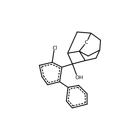 OC1(c2c(Cl)cccc2-c2ccccc2)C2CC3CC4CC1C2(C3)C4